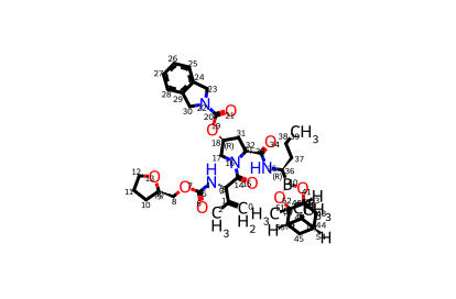 C=C(C)[C@H](NC(=O)OC[C@H]1CCCO1)C(=O)N1C[C@H](OC(=O)N2Cc3ccccc3C2)C[C@H]1C(=O)N[C@@H](CCC)B1O[C@@H]2C[C@@H]3C[C@@H](C3(C)C)[C@]2(C)O1